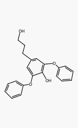 OCCCc1cc(Oc2ccccc2)c(O)c(Oc2ccccc2)c1